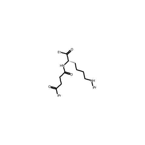 CCC(=O)[C@H](CCCCNC(C)C)NC(=O)CCC(=O)C(C)C